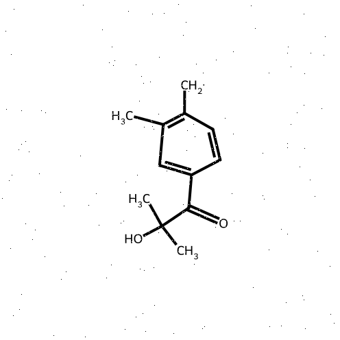 [CH2]c1ccc(C(=O)C(C)(C)O)cc1C